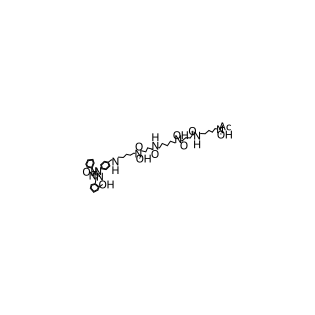 CC(=O)N(O)CCCCCNC(=O)CCC(=O)N(O)CCCCCNC(=O)CCC(=O)N(O)CCCCCNCc1ccc(-n2nc(-c3ccccc3O)nc2-c2ccccc2O)cc1